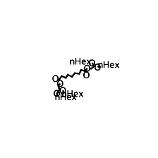 CCCCCCOC(COC(=O)CCCCCCCC(=O)OCC(OCCCCCC)OCCCCCC)OCCCCCC